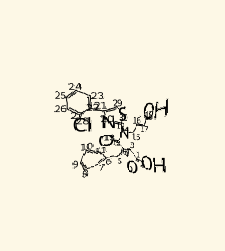 O=C(O)C[C@@H](Cc1ccccc1)C(=O)N(CCCO)c1nc(-c2ccccc2Cl)cs1